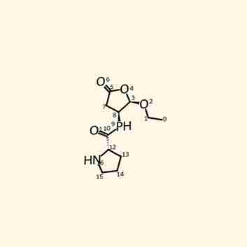 CCO[C@@H]1OC(=O)C[C@@H]1PC(=O)[C@@H]1CCCN1